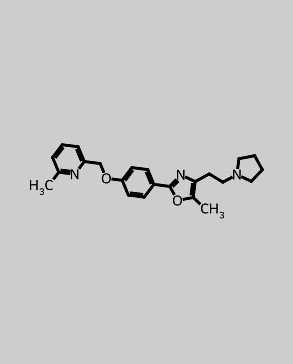 Cc1cccc(COc2ccc(-c3nc(CCN4CCCC4)c(C)o3)cc2)n1